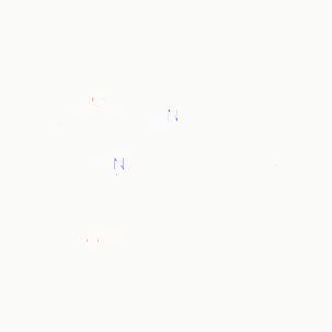 O=CC1c2ccccc2N=C2OCCN21